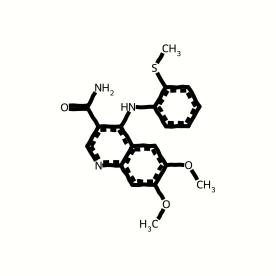 COc1cc2ncc(C(N)=O)c(Nc3ccccc3SC)c2cc1OC